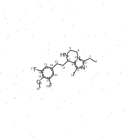 CCc1nc(I)c2n1CCNC2CCc1cc(F)c(OC)c(F)c1